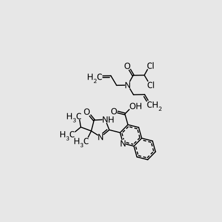 C=CCN(CC=C)C(=O)C(Cl)Cl.CC(C)C1(C)N=C(c2nc3ccccc3cc2C(=O)O)NC1=O